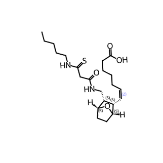 CCCCCNC(=S)CC(=O)NC[C@@H]1[C@H](/C=C\CCCCC(=O)O)[C@@H]2CC[C@H]1O2